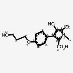 CCc1c(C#N)c(-c2ccc(OCCCC#N)cc2)c(C(=O)O)n1C